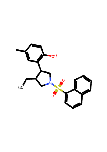 Cc1ccc(O)c(C2CN(S(=O)(=O)c3cccc4ccccc34)CC2CC#N)c1